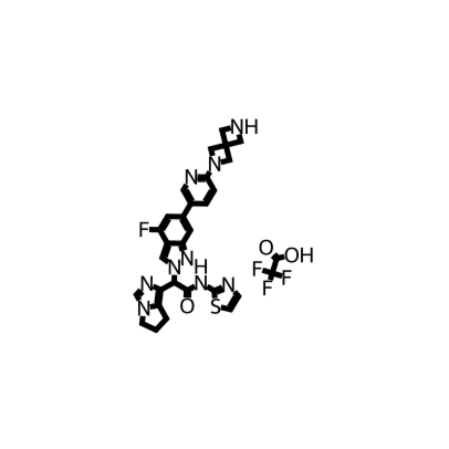 O=C(Nc1nccs1)C(c1ncn2c1CCC2)n1cc2c(F)cc(-c3ccc(N4CC5(CNC5)C4)nc3)cc2n1.O=C(O)C(F)(F)F